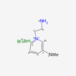 Br.CNc1ccc[n+](CCN)c1.[Br-]